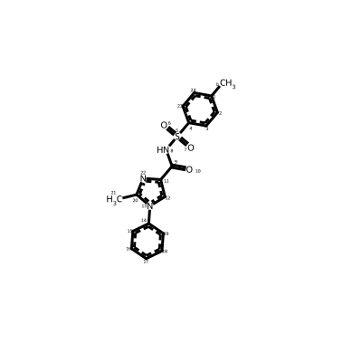 Cc1ccc(S(=O)(=O)NC(=O)c2cn(-c3ccccc3)c(C)n2)cc1